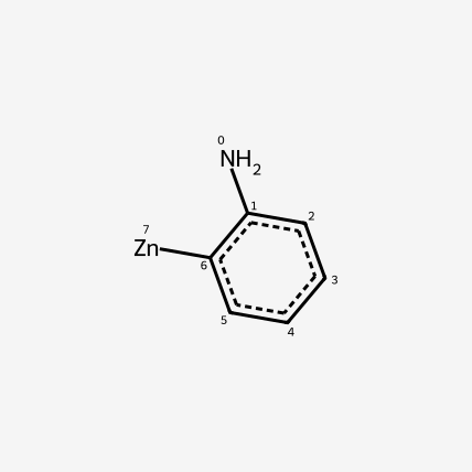 Nc1cccc[c]1[Zn]